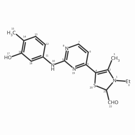 CCN1C(C)=C(c2ccnc(Nc3ccc(C)c(O)c3)n2)SC1C=O